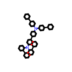 c1ccc(-c2ccc(N(c3ccc(-c4ccccc4)cc3)c3ccc(-c4ccc(N(c5ccccc5-c5ccccc5)c5ccccc5-c5ccccc5)cc4)cc3)cc2)cc1